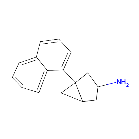 NC1CC2CC2(c2cccc3ccccc23)C1